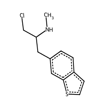 CNC(CCl)Cc1ccc2ccsc2c1